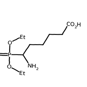 CCOP(=O)(OCC)C(N)CCCCC(=O)O